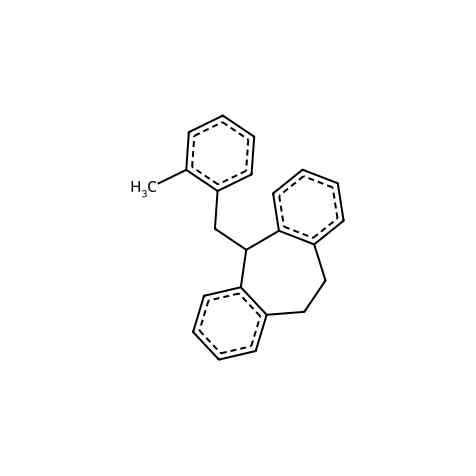 Cc1ccccc1CC1c2ccccc2CCc2ccccc21